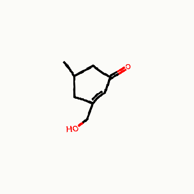 CC1CC(=O)C=C(CO)C1